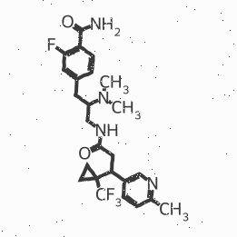 Cc1ccc(C(CC(=O)NCC(Cc2ccc(C(N)=O)c(F)c2)N(C)C)C2(C(F)(F)F)CC2)cn1